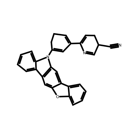 N#CC1C=NC(C2=CCCC(n3c4ccccc4c4cc5oc6ccccc6c5cc43)=C2)=CC1